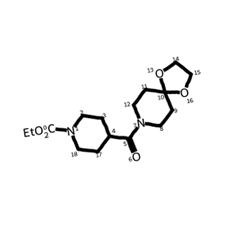 CCOC(=O)N1CCC(C(=O)N2CCC3(CC2)OCCO3)CC1